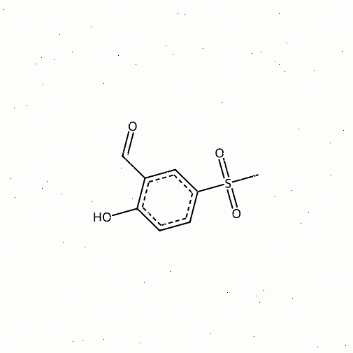 CS(=O)(=O)c1ccc(O)c(C=O)c1